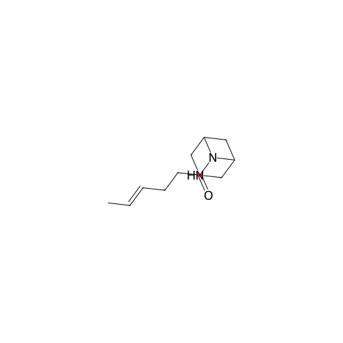 C/C=C/CCC(=O)N1C2CNCC1C2